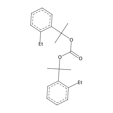 CCc1ccccc1C(C)(C)OC(=O)OC(C)(C)c1ccccc1CC